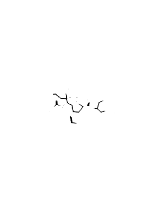 C/C=C\[C@@H]1C[C@H](C(=O)OC(CC)CC)N[C@H]1[C@@H](NC(C)=O)[C@](C)(CCC)OC